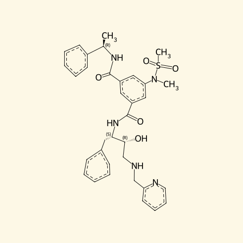 C[C@@H](NC(=O)c1cc(C(=O)N[C@@H](Cc2ccccc2)[C@H](O)CNCc2ccccn2)cc(N(C)S(C)(=O)=O)c1)c1ccccc1